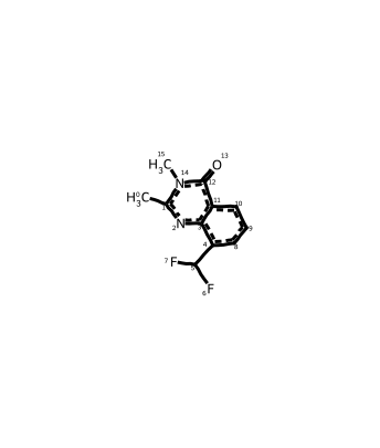 Cc1nc2c(C(F)F)cccc2c(=O)n1C